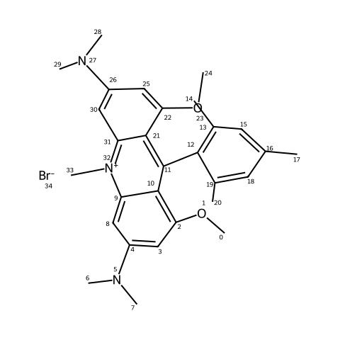 COc1cc(N(C)C)cc2c1c(-c1c(C)cc(C)cc1C)c1c(OC)cc(N(C)C)cc1[n+]2C.[Br-]